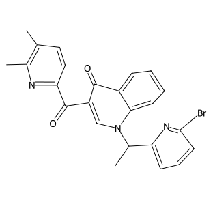 Cc1ccc(C(=O)c2cn(C(C)c3cccc(Br)n3)c3ccccc3c2=O)nc1C